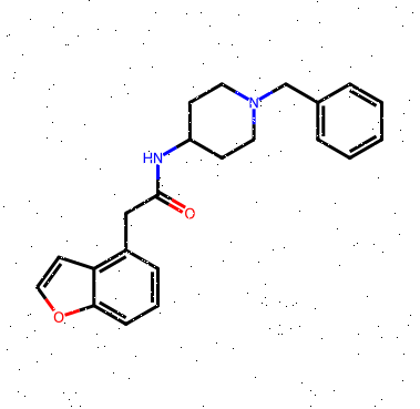 O=C(Cc1cccc2occc12)NC1CCN(Cc2ccccc2)CC1